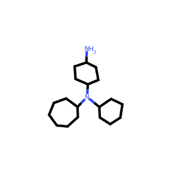 NC1CCC(N(C2CCCCCC2)C2CCCCC2)CC1